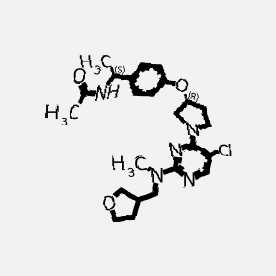 CC(=O)N[C@@H](C)c1ccc(O[C@@H]2CCN(c3nc(N(C)CC4CCOC4)ncc3Cl)C2)cc1